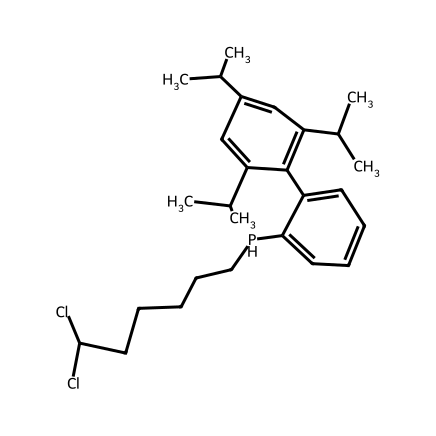 CC(C)c1cc(C(C)C)c(-c2ccccc2PCCCCCC(Cl)Cl)c(C(C)C)c1